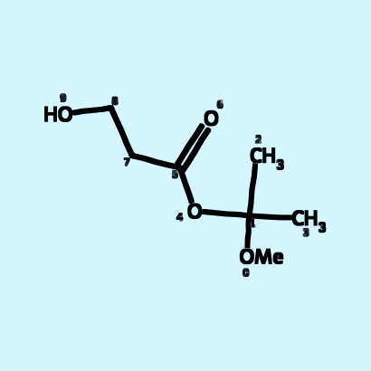 COC(C)(C)OC(=O)CCO